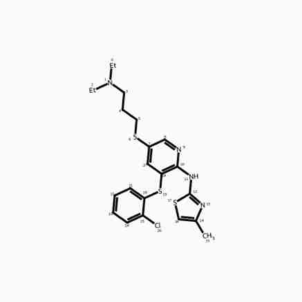 CCN(CC)CCCSc1cnc(Nc2nc(C)cs2)c(Sc2ccccc2Cl)c1